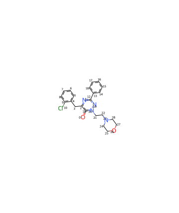 O=c1c(Cc2ccccc2Cl)nc(-c2ccccc2)nn1CCN1CCOCC1